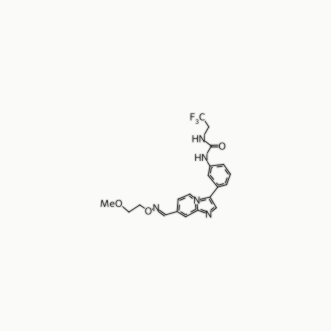 COCCON=Cc1ccn2c(-c3cccc(NC(=O)NCC(F)(F)F)c3)cnc2c1